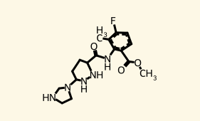 COC(=O)c1ccc(F)c(C)c1NC(=O)C1CCC(N2CCNC2)NN1